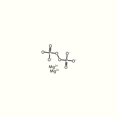 O=P([O-])([O-])OOP(=O)([O-])[O-].[Mg+2].[Mg+2]